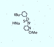 COc1cccc(N(C)C(=S)Oc2cccc(C(C)(C)C)c2)n1.[NaH]